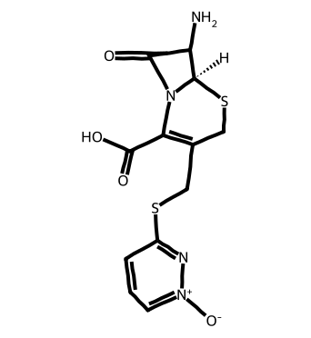 NC1C(=O)N2C(C(=O)O)=C(CSc3ccc[n+]([O-])n3)CS[C@H]12